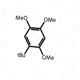 COc1cc(OC)c(C(C)(C)C)cc1OC